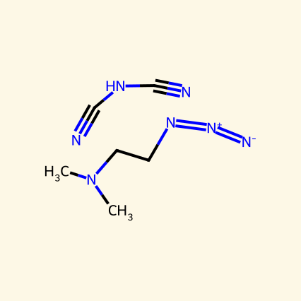 CN(C)CCN=[N+]=[N-].N#CNC#N